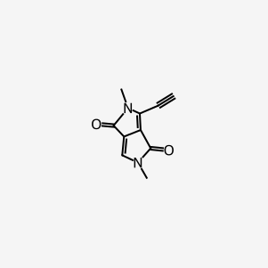 C#CC1=C2C(=O)N(C)C=C2C(=O)N1C